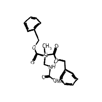 COC(=O)NC[Si](C)(C(=O)OCc1ccccc1)C(=O)OCc1ccccc1